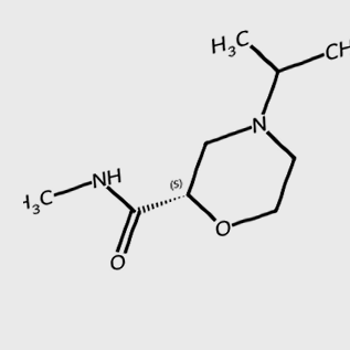 CNC(=O)[C@@H]1CN(C(C)C)CCO1